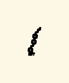 CC=CCCC1=CCC(C2CCC(CCC3CCC(CCC)CC3)CC2)CC1